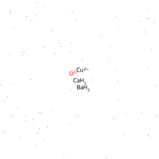 [BaH2].[CaH2].[Cu+2].[O-2]